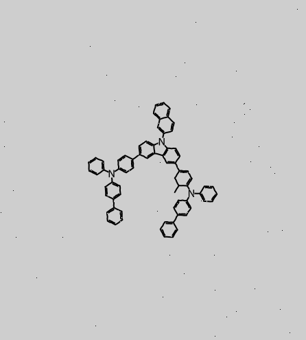 CC1CC(c2ccc3c(c2)c2cc(-c4ccc(N(c5ccccc5)c5ccc(-c6ccccc6)cc5)cc4)ccc2n3-c2ccc3ccccc3c2)=CC=C1N(c1ccccc1)c1ccc(-c2ccccc2)cc1